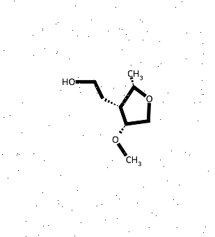 CO[C@H]1CO[C@@H](C)[C@H]1CCO